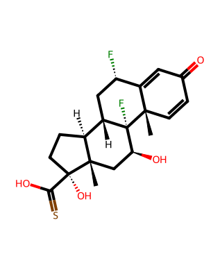 C[C@]12C=CC(=O)C=C1[C@@H](F)C[C@H]1[C@@H]3CC[C@](O)(C(O)=S)[C@@]3(C)C[C@H](O)[C@@]12F